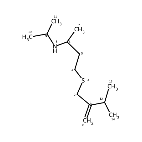 C=C(CSCCC(C)NC(C)C)C(C)C